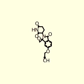 C#CCOc1ccc2c(c1)C1(CO1)N(C1CCC(=O)NC1=O)C2=O